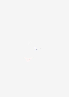 CC.COC1CCCN1C(C)(C)C